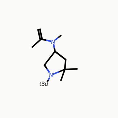 C=C(C)N(C)C1CN(C(C)(C)C)C(C)(C)C1